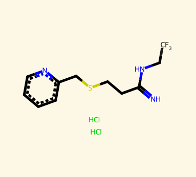 Cl.Cl.N=C(CCSCc1ccccn1)NCC(F)(F)F